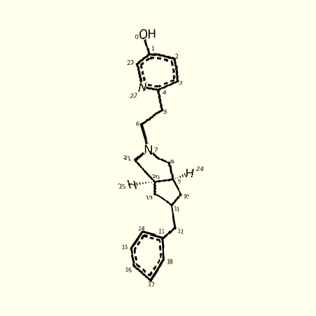 Oc1ccc(CCN2C[C@H]3CC(Cc4ccccc4)C[C@H]3C2)nc1